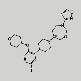 Fc1ccc(OC2CCOCC2)c(C2CCN([C@H]3CCN(c4ncon4)COC3)CC2)c1